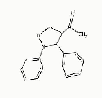 CC(=O)C1CON(c2ccccc2)C1c1ccccc1